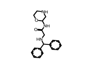 O=C(CNC(c1ccccc1)c1ccccc1)NC1CNCCO1